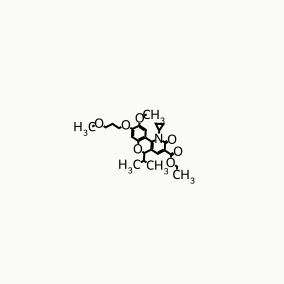 CCOC(=O)c1cc2c(n(C3CC3)c1=O)-c1cc(OC)c(OCCCOC)cc1OC2C(C)C